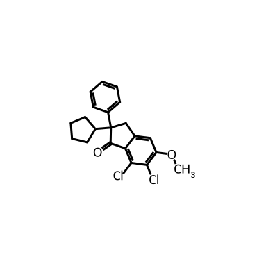 COc1cc2c(c(Cl)c1Cl)C(=O)C(c1ccccc1)(C1CCCC1)C2